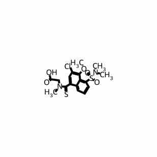 COc1c(Cl)cc(C(=S)N(C)CC(=O)O)c2cccc(S(=O)(=O)N(C)C)c12